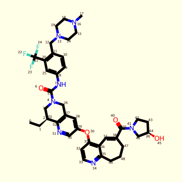 CC[C@H]1CN(C(=O)Nc2ccc(CN3CCN(C)CC3)c(C(F)(F)F)c2)Cc2cc(Oc3ccnc4c3C=C(C(=O)N3CC[C@@H](O)C3)CCC4)cnc21